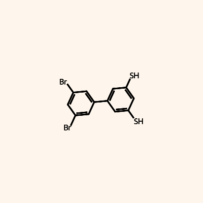 Sc1cc(S)cc(-c2cc(Br)cc(Br)c2)c1